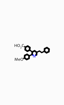 COc1ccc(-c2ncc(CCc3ccccc3)cc2-c2ccc(C(=O)O)cc2)cc1